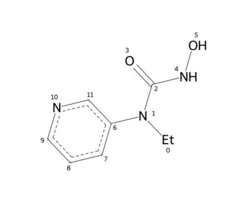 CCN(C(=O)NO)c1cccnc1